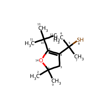 CC1(C)CC(C(C)(C)S)=C(C(C)(C)C)O1